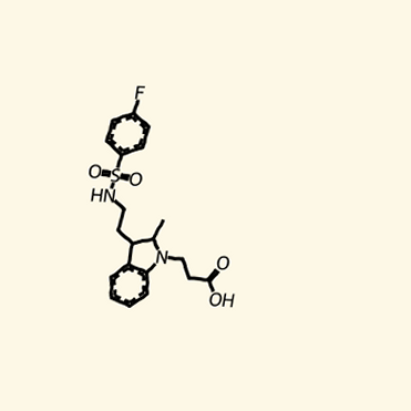 CC1C(CCNS(=O)(=O)c2ccc(F)cc2)c2ccccc2N1CCC(=O)O